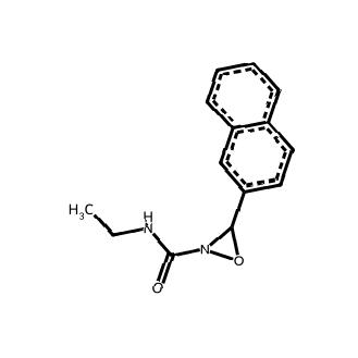 CCNC(=O)N1OC1c1ccc2ccccc2c1